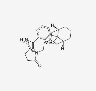 COC1(c2cccc(C(N)=O)c2)[C@@H]2CCC[C@H]1CN(CCN1C(=O)CCC1=O)C2